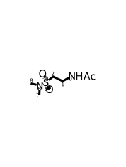 CC(=O)NCCS(=O)(=O)N(C)C